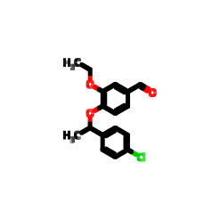 CCOc1cc(C=O)ccc1OC(C)c1ccc(Cl)cc1